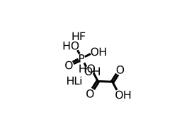 F.O=C(O)C(=O)O.O=P(O)(O)O.[LiH]